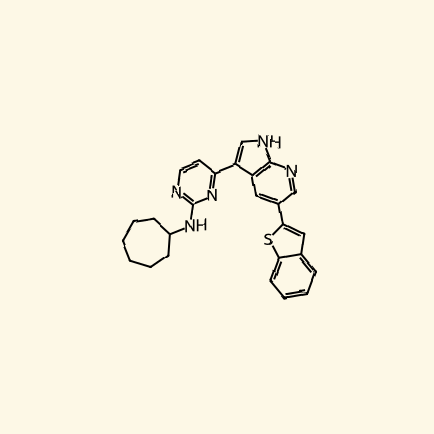 c1ccc2sc(-c3cnc4[nH]cc(-c5ccnc(NC6CCCCCC6)n5)c4c3)cc2c1